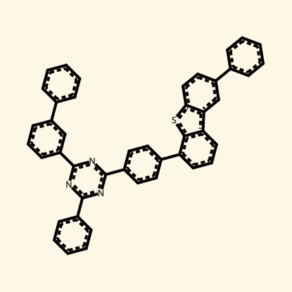 c1ccc(-c2cccc(-c3nc(-c4ccccc4)nc(-c4ccc(-c5cccc6c5sc5ccc(-c7ccccc7)cc56)cc4)n3)c2)cc1